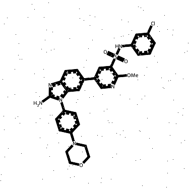 COc1ncc(-c2ccc3nc(N)n(-c4ccc(N5CCOCC5)cc4)c3c2)cc1S(=O)(=O)Nc1cccc(Cl)c1